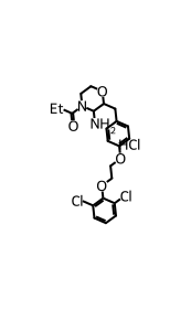 CCC(=O)N1CCOC(Cc2ccc(OCCOc3c(Cl)cccc3Cl)cc2)C1N.Cl